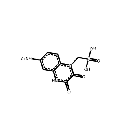 CC(=O)Nc1ccc2c(c1)[nH]c(=O)c(=O)n2CP(=O)(O)O